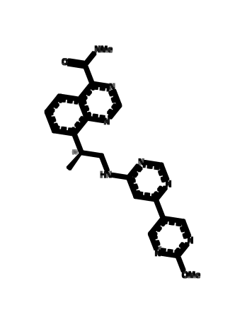 CNC(=O)c1ncnc2c([C@H](C)CNc3cc(-c4cnc(OC)nc4)ncn3)cccc12